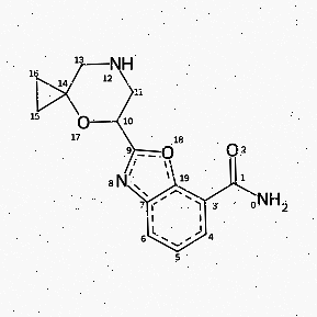 NC(=O)c1cccc2nc(C3CNCC4(CC4)O3)oc12